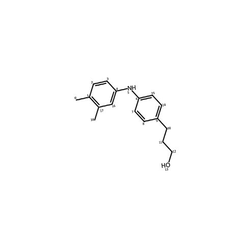 Cc1ccc(Nc2ccc(CCCO)cc2)cc1C